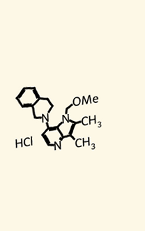 COCn1c(C)c(C)c2nccc(N3CCc4ccccc4C3)c21.Cl